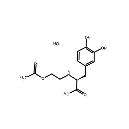 CC(=O)OCCN[C@@H](Cc1ccc(O)c(O)c1)C(=O)O.Cl